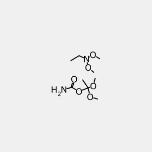 CCN(OC)OC.COC(C)(OC)OC(N)=O